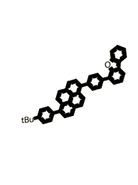 CC(C)(C)c1ccc(-c2ccc3ccc4c(-c5ccc(-c6cccc7c6oc6ccccc67)cc5)ccc5ccc2c3c54)cc1